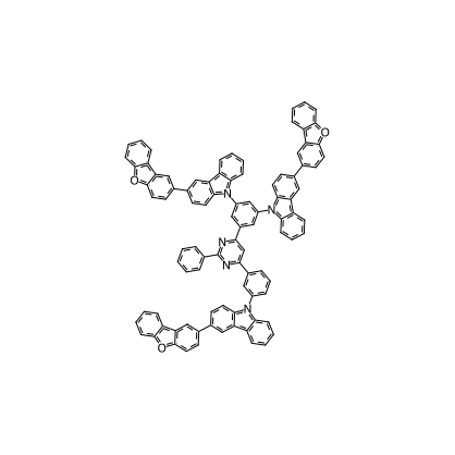 c1ccc(-c2nc(-c3cccc(-n4c5ccccc5c5cc(-c6ccc7oc8ccccc8c7c6)ccc54)c3)cc(-c3cc(-n4c5ccccc5c5cc(-c6ccc7oc8ccccc8c7c6)ccc54)cc(-n4c5ccccc5c5cc(-c6ccc7oc8ccccc8c7c6)ccc54)c3)n2)cc1